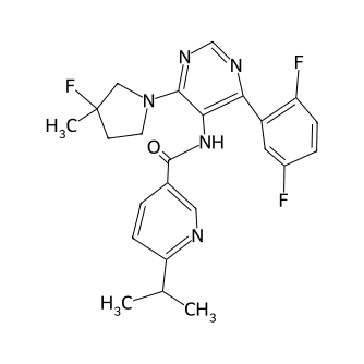 CC(C)c1ccc(C(=O)Nc2c(-c3cc(F)ccc3F)ncnc2N2CCC(C)(F)C2)cn1